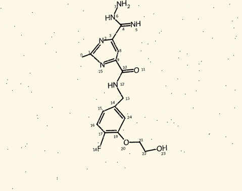 Cc1nc(C(=N)NN)cc(C(=O)NCc2ccc(F)c(OCCO)c2)n1